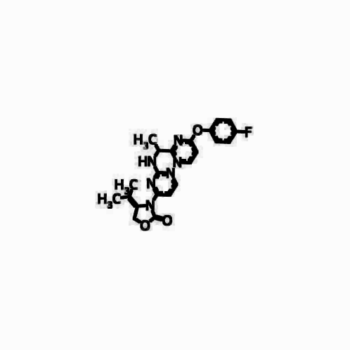 CC(C)=C1COC(=O)N1c1ccnc(NC(C)c2nccc(Oc3ccc(F)cc3)n2)n1